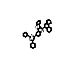 c1ccc(-c2cc(-c3ccc4nc(-c5cc6ccccc6c6ccccc56)c5c6ccccc6oc5c4c3)nc(-c3ccccc3)n2)cc1